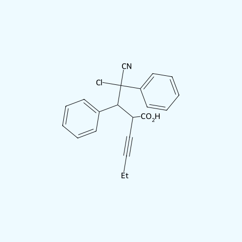 CCC#CC(C(=O)O)C(c1ccccc1)C(Cl)(C#N)c1ccccc1